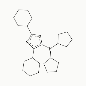 c1c(C2CCCCC2)sc(C2CCCCC2)c1P(C1CCCC1)C1CCCC1